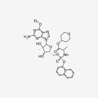 CCOc1nc(N)nc2c1ncn2C1O[C@H](COP(=O)(NC(C)C(=O)OC2CCOCC2)Oc2cccc3ccccc23)[C@@H](O)[C@@]1(C)O